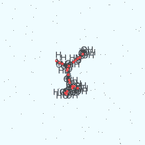 C=CNC(=O)CCNC(=O)CN(CC(=O)NCCCCCC(=O)NCCO[C@@H]1O[C@@H](C)[C@@H](O)[C@@H](O)[C@@H]1O)CC(=O)NCCCCCC(=O)NCCO[C@H]1O[C@H](CO[C@H]2O[C@H](CO)[C@@H](O)[C@H](O)[C@@H]2O)[C@@H](O)[C@H](O[C@H]2O[C@H](CO)[C@@H](O)[C@H](O)[C@@H]2O)[C@@H]1O